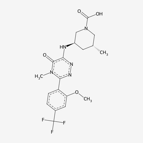 COc1cc(C(F)(F)F)ccc1-c1nnc(N[C@@H]2C[C@@H](C)CN(C(=O)O)C2)c(=O)n1C